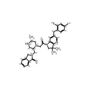 C[C@@H]1CN(CC(=O)N2CC(C)(C)c3ncc(Cc4ccc(F)cc4F)cc32)[C@@H](CN2Cc3ccccc3C2=O)CN1